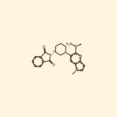 C[C@H](N)c1nc2ccn(C)c2cc1N1CCC[C@@H](N2C(=O)c3ccccc3C2=O)C1